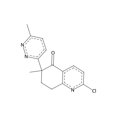 Cc1ccc(C2(C)CCc3nc(Cl)ccc3C2=O)nn1